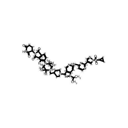 [2H]C1([2H])N(CC2CCN(c3nn(C(C)C)c4cc(Nc5ccnc(-c6cnn(S(=O)(=O)C7CC7)c6)n5)ncc34)CC2)C([2H])([2H])C([2H])([2H])N(c2ccc3c(c2F)C(=O)N(C2CCC(=O)NC2=O)C3=O)C1([2H])[2H]